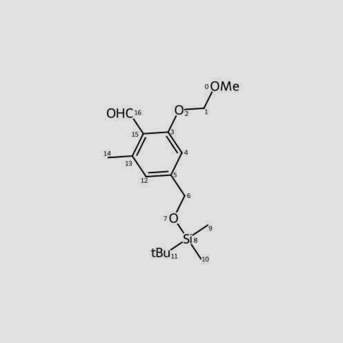 COCOc1cc(CO[Si](C)(C)C(C)(C)C)cc(C)c1C=O